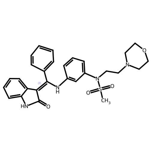 CS(=O)(=O)N(CCN1CCOCC1)c1cccc(N/C(=C2\C(=O)Nc3ccccc32)c2ccccc2)c1